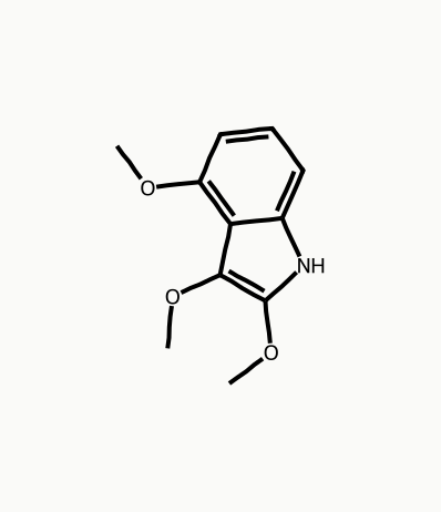 COc1[nH]c2cccc(OC)c2c1OC